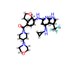 O=C(c1ccc(Nc2cc(NC3CC3)c3c(C(F)(F)F)c[nH]c3n2)c2c1CCO2)N1CCC(N2CCOCC2)CC1